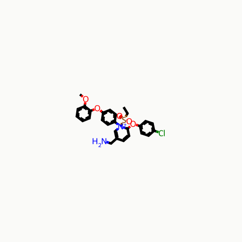 CCS(=O)(=O)[N+]1(c2ccc(Oc3ccccc3OC)cc2)C=C(CN)C=CC1Oc1ccc(Cl)cc1